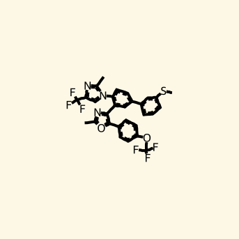 CSc1cccc(-c2ccc(-n3cc(C(F)(F)F)nc3C)c(-c3nc(C)oc3-c3ccc(OC(F)(F)F)cc3)c2)c1